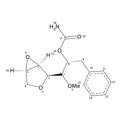 COC([C@H]1OC[C@H]2O[C@@H]12)[C@@H](Cc1ccccc1)OC(N)=O